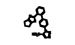 O=C(O)c1cnnn1-c1ccc(-c2ccccc2-c2nc3c(s2)CCC3)cc1